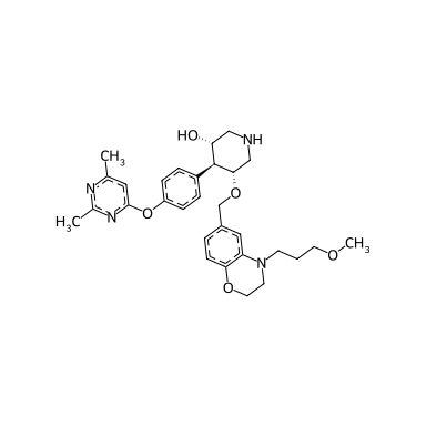 COCCCN1CCOc2ccc(CO[C@H]3CNC[C@@H](O)[C@@H]3c3ccc(Oc4cc(C)nc(C)n4)cc3)cc21